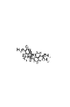 Cc1c(Cl)nnc(NS(=O)(=O)c2cccc3c(N(C)C)cccc23)c1C